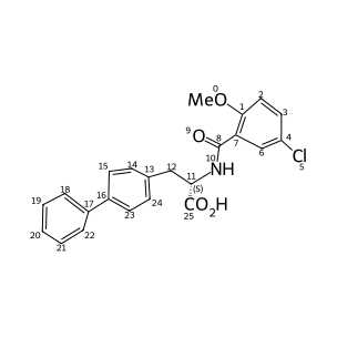 COc1ccc(Cl)cc1C(=O)N[C@@H](Cc1ccc(-c2ccccc2)cc1)C(=O)O